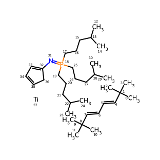 CC(C)(C)C=CC=CC(C)(C)C.CC(C)CCCP(CCCC(C)C)(CCCC(C)C)=NC1=CC=CC1.[Ti]